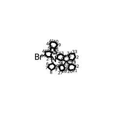 Brc1cc(N(c2ccccc2)c2ccc3c(c2)C(c2ccccc2)(c2ccccc2)c2ccccc2-3)c2sc3ccccc3c2c1